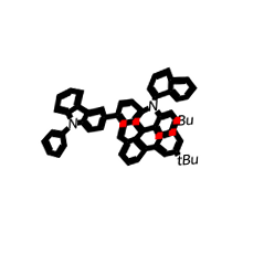 CC(C)(C)c1cc(-c2cccc3cccc(-c4ccccc4N(c4ccc(-c5ccc6c(c5)c5ccccc5n6-c5ccccc5)cc4)c4cccc5ccccc45)c23)cc(C(C)(C)C)c1